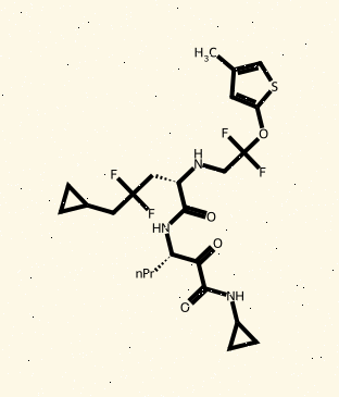 CCC[C@H](NC(=O)[C@H](CC(F)(F)CC1CC1)NCC(F)(F)Oc1cc(C)cs1)C(=O)C(=O)NC1CC1